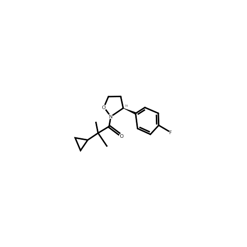 CC(C)(C(=O)N1OCC[C@H]1c1ccc(F)cc1)C1CC1